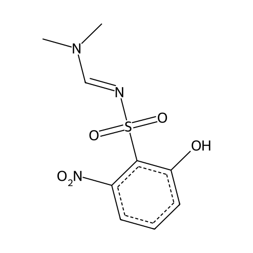 CN(C)C=NS(=O)(=O)c1c(O)cccc1[N+](=O)[O-]